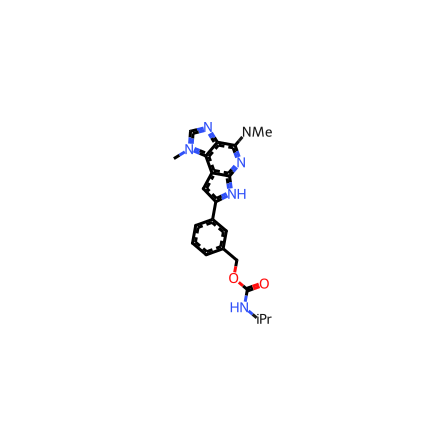 CNc1nc2[nH]c(-c3cccc(COC(=O)NC(C)C)c3)cc2c2c1ncn2C